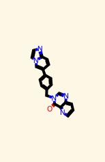 O=c1c2ncccc2ncn1Cc1ccc(-c2ccc3nccn3c2)cc1